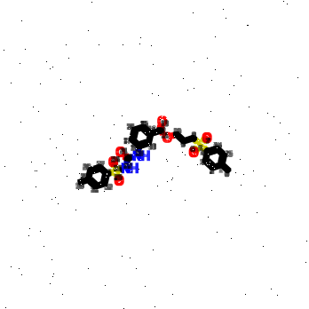 Cc1ccc(S(=O)(=O)CCCOC(=O)c2cccc(NC(=O)NS(=O)(=O)c3ccc(C)cc3)c2)cc1